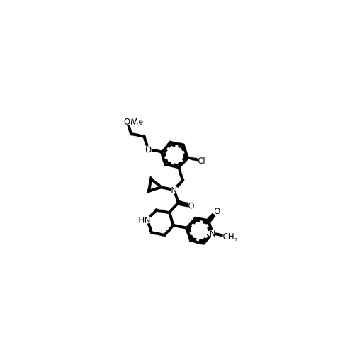 COCCOc1ccc(Cl)c(CN(C(=O)C2CNCCC2c2ccn(C)c(=O)c2)C2CC2)c1